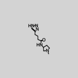 CN1CCC(NC(=O)CCCc2c[nH]nn2)C1